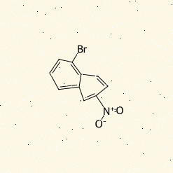 O=[N+]([O-])c1[c]c2cccc(Br)c2cc1